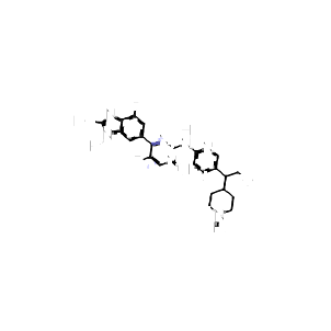 C=N/C=C(F)\C(=N/CNc1ccc(C(CO)C2CCN(CC)CC2)cn1)c1cc(F)c2nc(C)n(C(C)C)c2c1